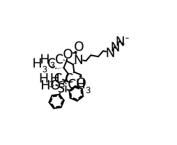 CC[C@@H](CC(C)(C)[Si](O)(c1ccccc1)c1ccccc1)[C@@]1(C)OC(=O)N(CCCCN=[N+]=[N-])[C@@H]1[C@@H](C)C=O